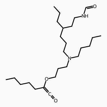 CCCCCC(=C=O)OCCCN(CCCCC)CCCC(CCC)CCNC=O